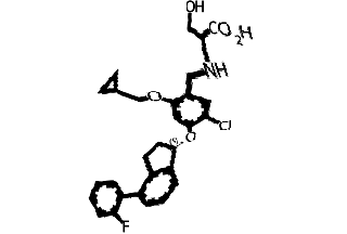 O=C(O)C(CO)NCc1cc(Cl)c(O[C@H]2CCc3c(-c4ccccc4F)cccc32)cc1OCC1CC1